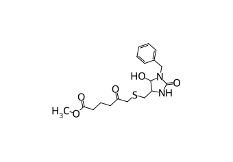 COC(=O)CCCC(=O)CSCC1NC(=O)N(Cc2ccccc2)C1O